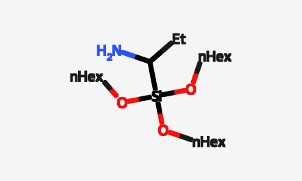 CCCCCCO[Si](OCCCCCC)(OCCCCCC)C(N)CC